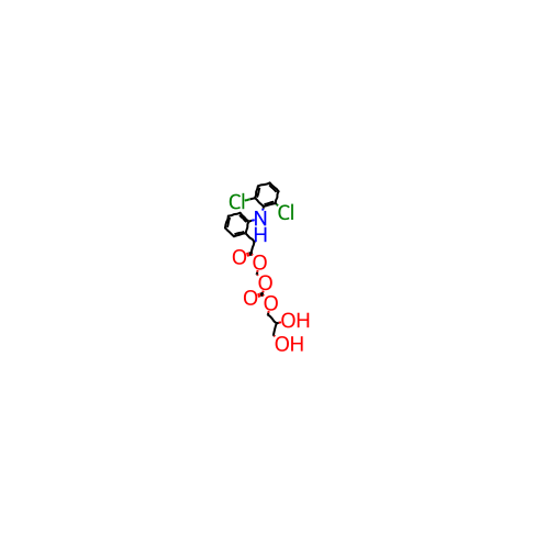 O=C(Cc1ccccc1Nc1c(Cl)cccc1Cl)OCOC(=O)OCC(O)CO